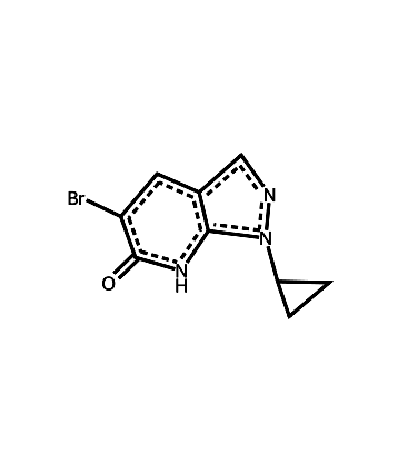 O=c1[nH]c2c(cnn2C2CC2)cc1Br